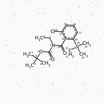 CCN(C(=O)OC(C)(C)C)C(=O)c1c(Cl)cccc1[Si](C)(C)C